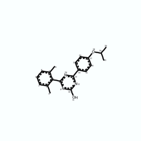 Cc1cccc(C)c1-c1nc(O)nc(-c2ccc(OC(C)C)cc2)n1